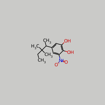 CCC(C)(C)C(C)c1cc(O)c(O)c([N+](=O)[O-])c1